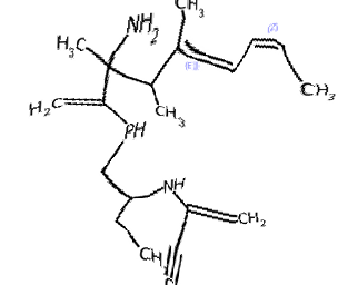 C#CC(=C)NC(CC)CPC(=C)C(C)(N)C(C)/C(C)=C/C=C\C